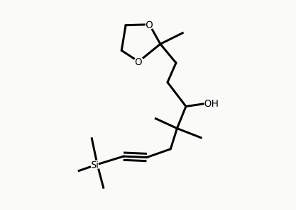 CC1(CCC(O)C(C)(C)CC#C[Si](C)(C)C)OCCO1